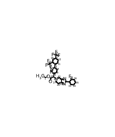 CCOC(=O)C(c1ccc(-c2ccc(C(F)(F)F)cc2C(F)(F)F)nn1)n1ccc2nc(-c3ccccc3F)nc-2c1